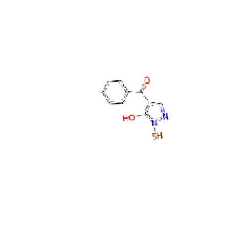 O=C(c1ccccc1)c1cnn(S)c1O